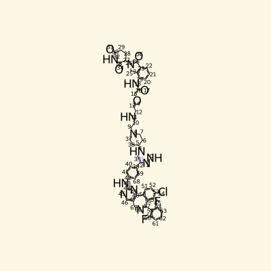 N=N/C(=C\NC1CCN(CCNCCOCC(=O)Nc2cccc3c2CN(C2CCC(=O)NC2=O)C3=O)CC1)c1ccc(Nc2ncc3c(n2)-c2ccc(Cl)cc2C(c2c(F)cccc2F)=NC3)cc1